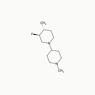 C[C@@H]1CCN(C2CCN(C)CC2)C[C@H]1F